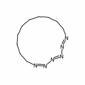 C1CCCCC/N=N/N=N/N=N\CCCC1